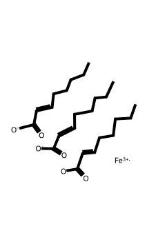 CCCCCC=CC(=O)[O-].CCCCCC=CC(=O)[O-].CCCCCC=CC(=O)[O-].[Fe+3]